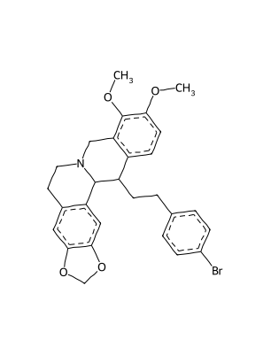 COc1ccc2c(c1OC)CN1CCc3cc4c(cc3C1C2CCc1ccc(Br)cc1)OCO4